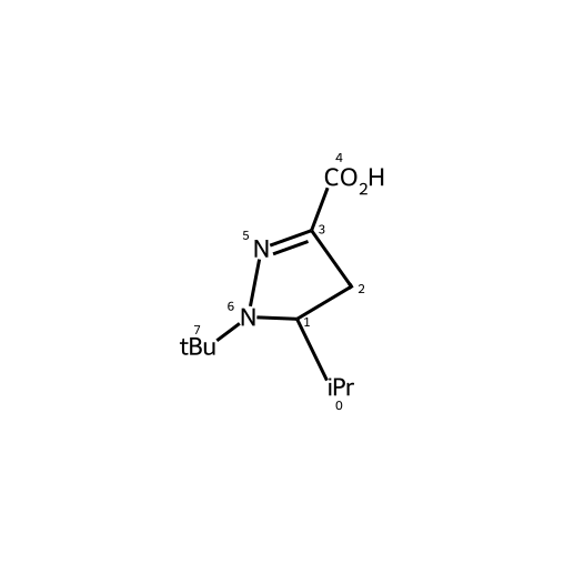 CC(C)C1CC(C(=O)O)=NN1C(C)(C)C